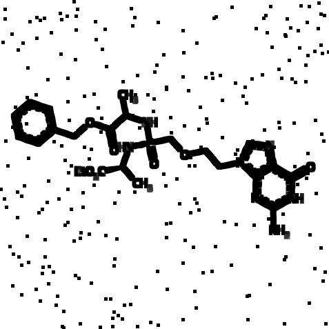 CCOC(=O)[C@H](C)NP(=O)(COCCn1cnc2c(=O)[nH]c(N)nc21)NC(C)C(=O)OCc1ccccc1